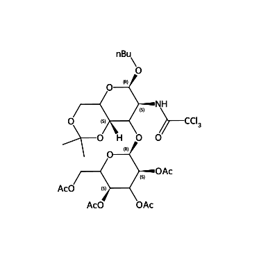 CCCCO[C@@H]1OC2COC(C)(C)O[C@H]2C(O[C@@H]2OC(COC(C)=O)[C@H](OC(C)=O)C(OC(C)=O)[C@@H]2OC(C)=O)[C@@H]1NC(=O)C(Cl)(Cl)Cl